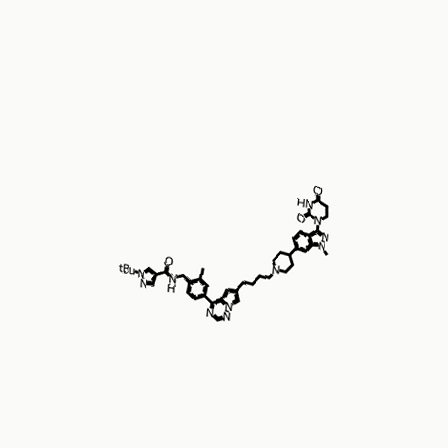 Cc1cc(-c2ncnn3cc(CCCCN4CCC(c5ccc6c(N7CCC(=O)NC7=O)nn(C)c6c5)CC4)cc23)ccc1CNC(=O)c1cnn(C(C)(C)C)c1